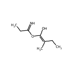 CCC(=N)O/C(O)=C(\C)CC